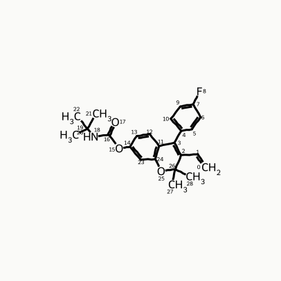 C=CC1=C(c2ccc(F)cc2)c2ccc(OC(=O)NC(C)(C)C)cc2OC1(C)C